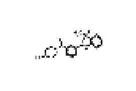 CC1CCN(C(=O)c2cncc(COc3ccccc3C(C)(F)F)c2)CC1